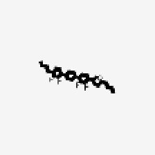 C=CCCC1CCC(c2ccc(-c3ccc(-c4ccc(CCCC)c(F)c4F)cc3)c(F)c2F)CO1